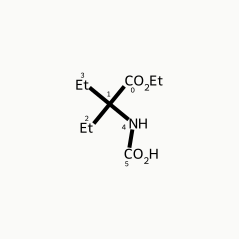 CCOC(=O)C(CC)(CC)NC(=O)O